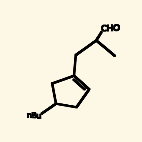 CCCCC1CC=C(CC(C)C=O)C1